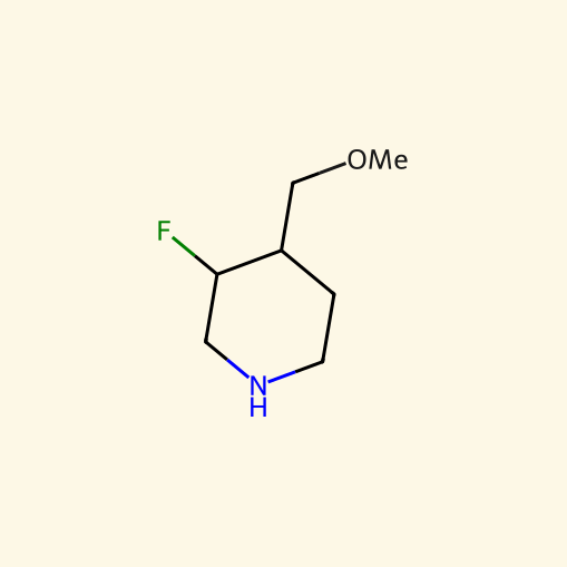 COCC1CCNCC1F